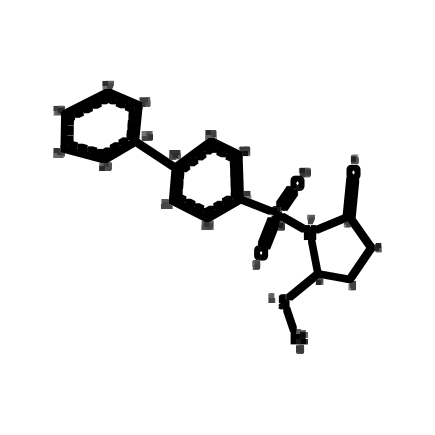 CCSC1CCC(=O)N1S(=O)(=O)c1ccc(-c2ccccc2)cc1